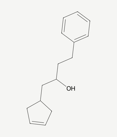 OC(CCc1ccccc1)CC1CC=CC1